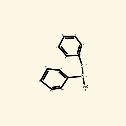 CC(=O)N(Sc1ccccc1)c1ccccc1